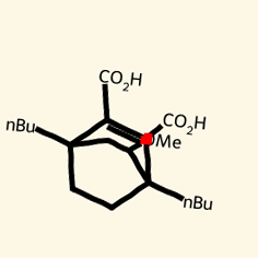 CCCCC12CCC(CCCC)(C(C(=O)O)=C1C(=O)O)C(OC)C2